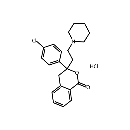 Cl.O=C1OC(CCN2CCCCC2)(c2ccc(Cl)cc2)Cc2ccccc21